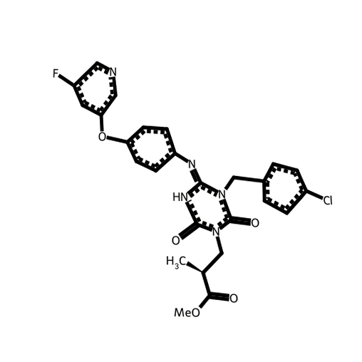 COC(=O)[C@@H](C)Cn1c(=O)[nH]/c(=N\c2ccc(Oc3cncc(F)c3)cc2)n(Cc2ccc(Cl)cc2)c1=O